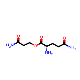 NC(=O)CCOC(=O)[C@@H](N)CCC(N)=O